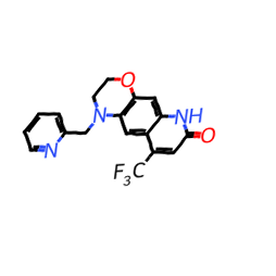 O=c1cc(C(F)(F)F)c2cc3c(cc2[nH]1)OCCN3Cc1ccccn1